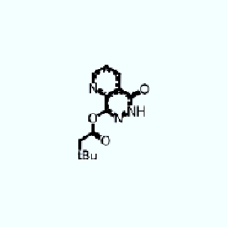 CC(C)(C)CC(=O)Oc1n[nH]c(=O)c2cccnc12